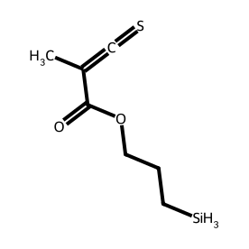 CC(=C=S)C(=O)OCCC[SiH3]